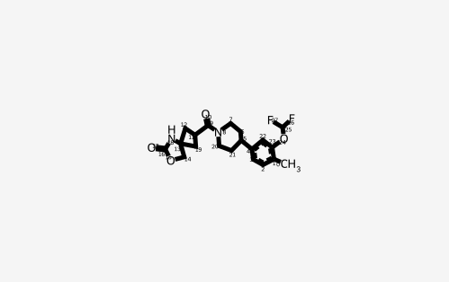 Cc1ccc(C2CCN(C(=O)C3CC4(COC(=O)N4)C3)CC2)cc1OC(F)F